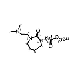 CN(C)CCN1CCCC[C@@H](NC(=O)OC(C)(C)C)C1=O